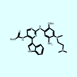 CNC(=O)Nc1cnc(Nc2cc(N)c(N(C)CCN(C)C)cc2OC)nc1-c1c[nH]c2ccccc12